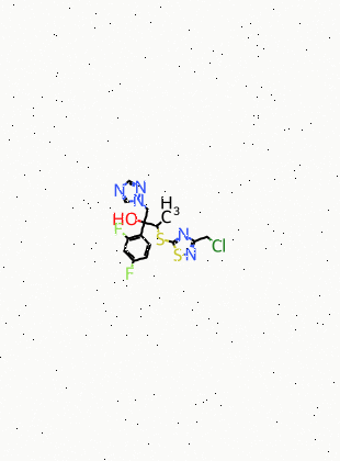 CC(Sc1nc(CCl)ns1)C(O)(Cn1cncn1)c1ccc(F)cc1F